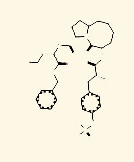 CCC[C@H](NC(=O)[C@@H]1CCC2CCCC[C@H](NC(=O)[C@@H](N)Cc3ccc(OP(=O)(O)O)cc3)C(=O)N21)C(=O)NCc1ccccc1